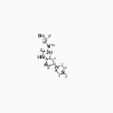 C=C(Nc1ccc(N2CCN(C)CC2)cn1)C(=O)N(C)/C=C(\C)Br